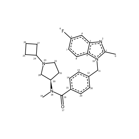 Cc1nc2cc(F)ccc2n1Cc1ccc(C(=O)N(C)[C@@H]2CCN(C3CCC3)C2)cc1